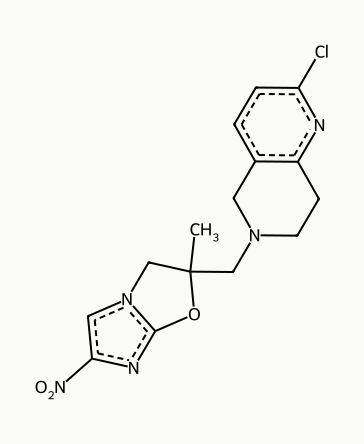 CC1(CN2CCc3nc(Cl)ccc3C2)Cn2cc([N+](=O)[O-])nc2O1